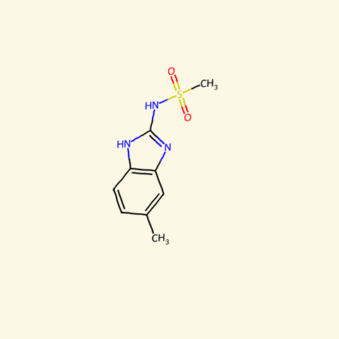 Cc1ccc2[nH]c(NS(C)(=O)=O)nc2c1